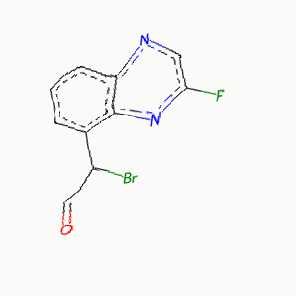 O=CC(Br)c1cccc2ncc(F)nc12